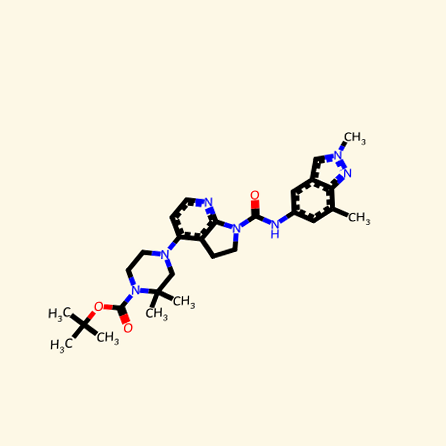 Cc1cc(NC(=O)N2CCc3c(N4CCN(C(=O)OC(C)(C)C)C(C)(C)C4)ccnc32)cc2cn(C)nc12